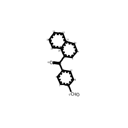 O=Cc1ccc(C(=O)c2cccc3ccccc23)cc1